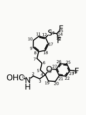 O=CNCCC1(CCCC2=CCC=C(SC(F)F)C=C2)CCc2cc(F)ccc2O1